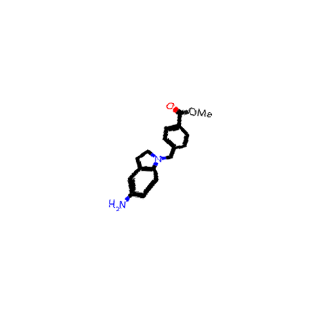 COC(=O)c1ccc(CN2CCc3cc(N)ccc32)cc1